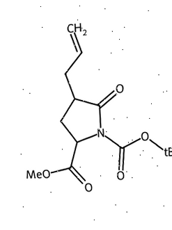 C=CCC1CC(C(=O)OC)N(C(=O)OC(C)(C)C)C1=O